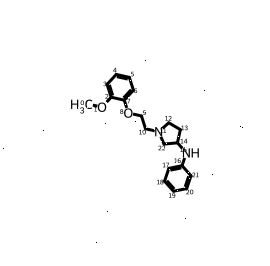 COc1ccccc1OCCN1CCC(Nc2ccccc2)C1